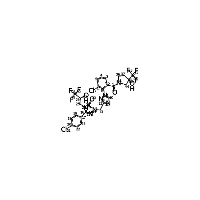 O=C(c1cccc(Cl)c1-n1cnc(Cn2nc(-c3ccc(Cl)cc3)n(C[C@H](O)C(F)(F)F)c2=O)n1)N1CCC(O)(C(F)(F)F)C1